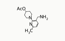 CC(=O)OC1CCN(c2nc(C)ccc2CN)CC1